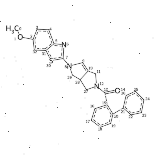 COc1ccc2nc(N3C=C4CN(C(=O)c5ccccc5-c5ccccc5)CC4C3)sc2c1